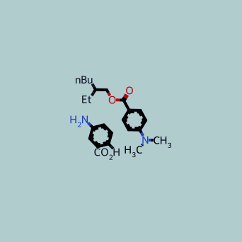 CCCCC(CC)COC(=O)c1ccc(N(C)C)cc1.Nc1ccc(C(=O)O)cc1